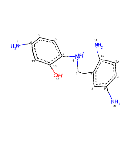 Nc1ccc(NCc2cc(N)ccc2N)c(O)c1